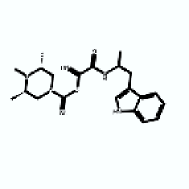 CC(Cc1c[nH]c2ccccc12)NC(=O)C(=N)SC(=N)N1C[C@@H](C)N(C)[C@H](C)C1